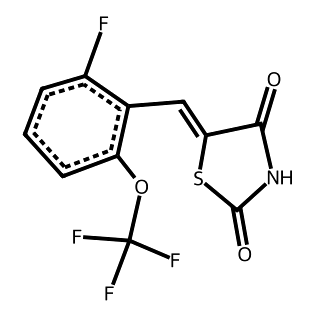 O=C1NC(=O)C(=Cc2c(F)cccc2OC(F)(F)F)S1